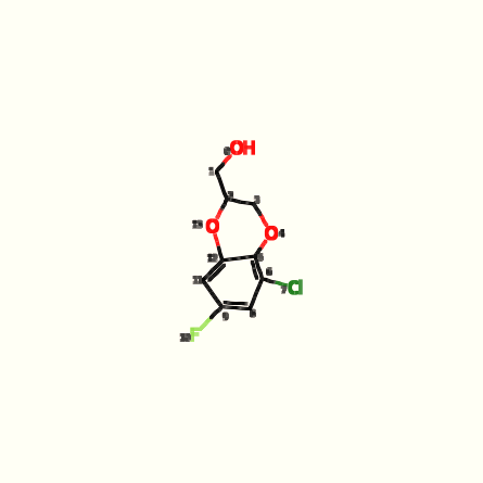 OCC1COc2c(Cl)cc(F)cc2O1